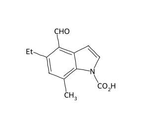 CCc1cc(C)c2c(ccn2C(=O)O)c1C=O